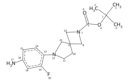 CC(C)(C)OC(=O)N1CC2(CCN(c3ccc(N)cc3F)C2)C1